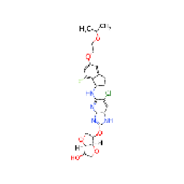 CC(C)OCCOc1cc(F)c2c(c1)CCC2Nc1nc2nc(O[C@@H]3CO[C@H]4[C@@H]3OC[C@H]4O)[nH]c2cc1Cl